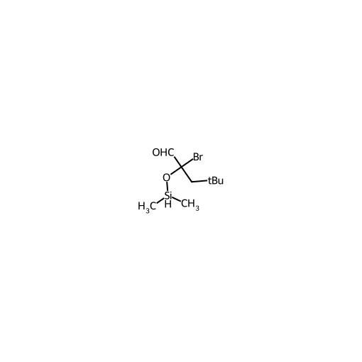 C[SiH](C)OC(Br)(C=O)CC(C)(C)C